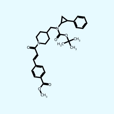 COC(=O)c1ccc(C=CC(=O)N2CCC(CN(C(=O)OC(C)(C)C)C3CC3c3ccccc3)CC2)cc1